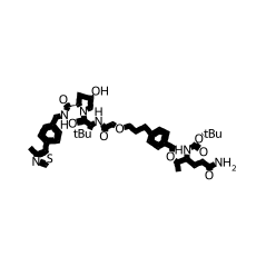 Cc1ncsc1-c1ccc(CNC(=O)[C@@H]2C[C@H](O)CN2C(=O)C(NC(=O)COCCCc2ccc(COC(C)C(CCC(N)=O)NC(=O)OC(C)(C)C)cc2)C(C)(C)C)cc1